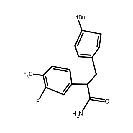 CC(C)(C)c1ccc(CC(C(N)=O)c2ccc(C(F)(F)F)c(F)c2)cc1